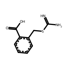 N=C(N)SCc1ccccc1C(=O)O